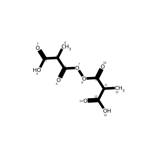 CC(C(=O)O)C(=O)OOC(=O)C(C)C(=O)O